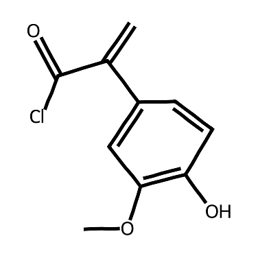 C=C(C(=O)Cl)c1ccc(O)c(OC)c1